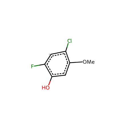 COc1cc(O)c(F)[c]c1Cl